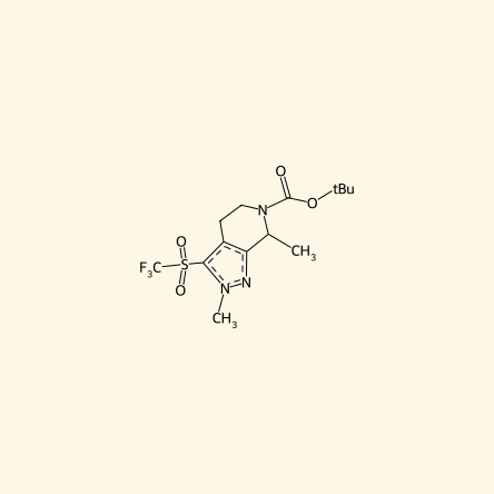 CC1c2nn(C)c(S(=O)(=O)C(F)(F)F)c2CCN1C(=O)OC(C)(C)C